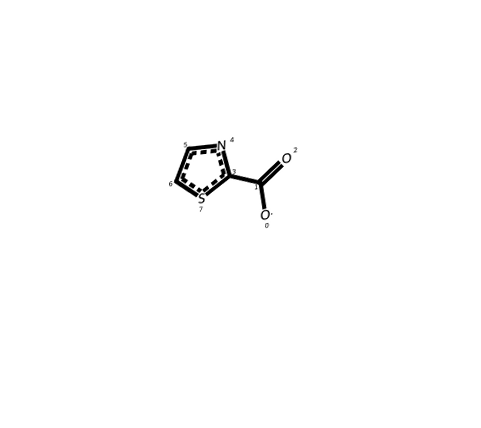 [O]C(=O)c1nccs1